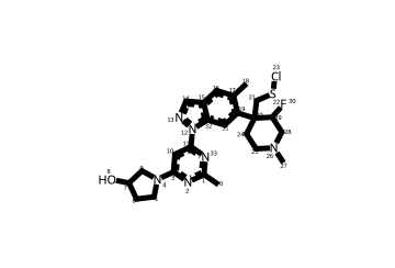 Cc1nc(N2CCC(O)C2)cc(-n2ncc3cc(C)c(C4(CSCl)CCN(C)CC4F)cc32)n1